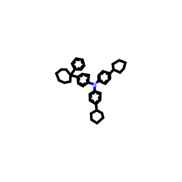 c1ccc(C2(c3ccc(N(c4ccc(C5CCCCC5)cc4)c4ccc(C5CCCCC5)cc4)cc3)CCCCCC2)cc1